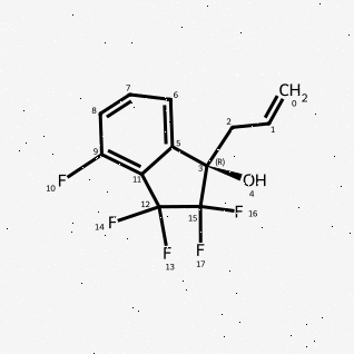 C=CC[C@@]1(O)c2cccc(F)c2C(F)(F)C1(F)F